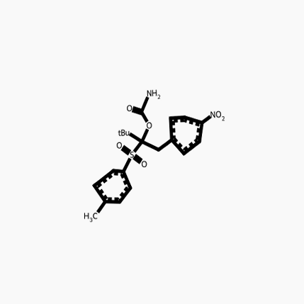 Cc1ccc(S(=O)(=O)C(Cc2ccc([N+](=O)[O-])cc2)(OC(N)=O)C(C)(C)C)cc1